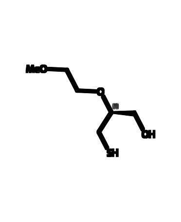 COCCO[C@@H](CO)CS